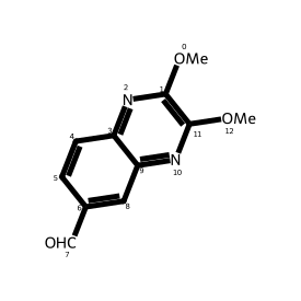 COc1nc2ccc(C=O)cc2nc1OC